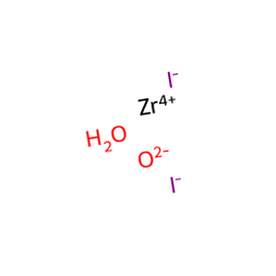 O.[I-].[I-].[O-2].[Zr+4]